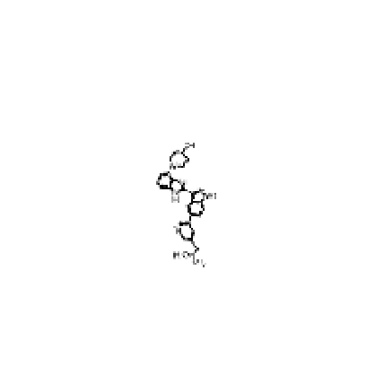 CN(C)Cc1cncc(-c2ccc3[nH]nc(-c4nc5c(N6CCC(O)CC6)cncc5[nH]4)c3c2)c1